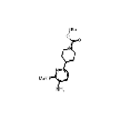 COc1nc(C2CCN(C(=O)OC(C)(C)C)CC2)ccc1N